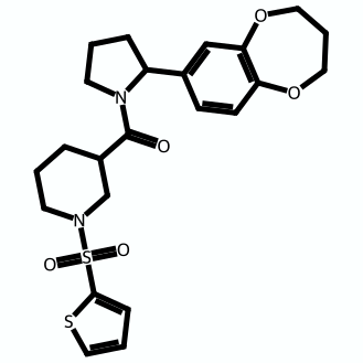 O=C(C1CCCN(S(=O)(=O)c2cccs2)C1)N1CCCC1c1ccc2c(c1)OCCCO2